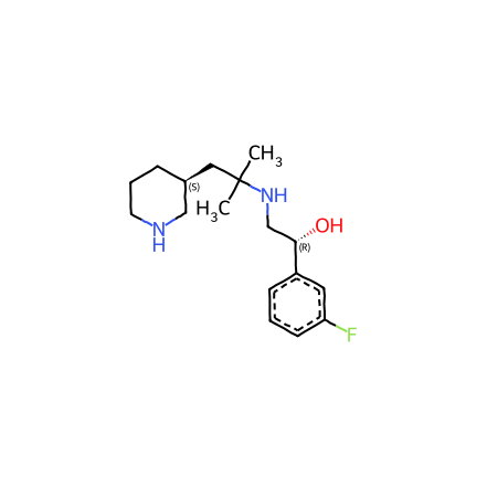 CC(C)(C[C@@H]1CCCNC1)NC[C@H](O)c1cccc(F)c1